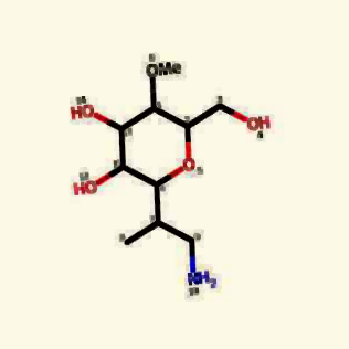 COC1C(CO)OC(C(C)CN)C(O)C1O